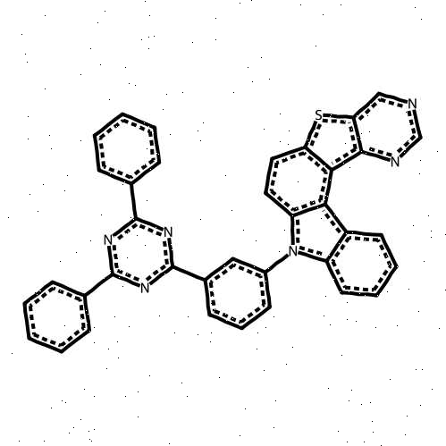 c1ccc(-c2nc(-c3ccccc3)nc(-c3cccc(-n4c5ccccc5c5c6c(ccc54)sc4cncnc46)c3)n2)cc1